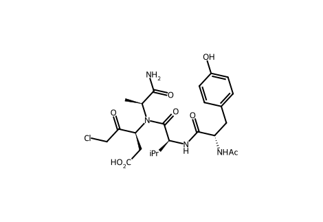 CC(=O)N[C@@H](Cc1ccc(O)cc1)C(=O)N[C@H](C(=O)N([C@@H](C)C(N)=O)[C@@H](CC(=O)O)C(=O)CCl)C(C)C